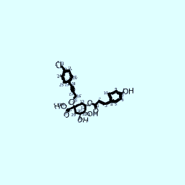 O=C(/C=C/c1ccc(O)cc1)O[C@@H]1C[C@](OCC#Cc2ccc(Cl)cc2)(C(=O)O)C[C@H](O)[C@H]1O